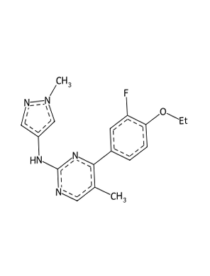 CCOc1ccc(-c2nc(Nc3cnn(C)c3)ncc2C)cc1F